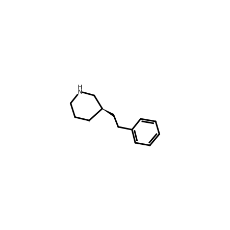 [CH]1CCNC[C@H]1CCc1ccccc1